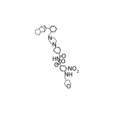 O=C(NS(=O)(=O)c1ccc(NCC2CCOCC2)c([N+](=O)[O-])c1)c1ccc(N2CCN(Cc3ccccc3C3=CC4CC3C3CCCC43)CC2)cc1